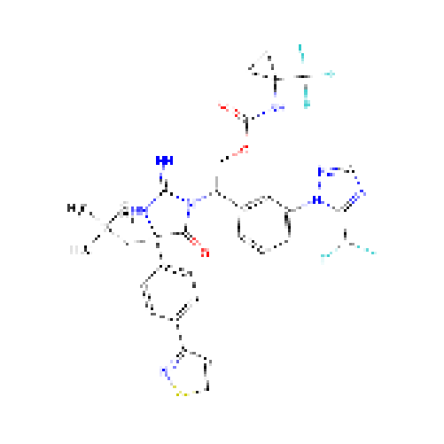 CC(C)(C)C[C@]1(c2ccc(-c3ccsn3)cc2)NC(=N)N([C@H](COC(=O)NC2(C(F)(F)F)CC2)c2cccc(-n3ncnc3C(F)F)c2)C1=O